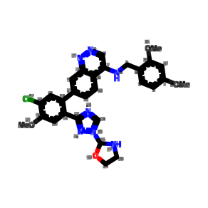 COc1ccc(CNc2cnnc3cc(-c4cc(Cl)c(OC)cc4-c4ncn(C5NCCO5)n4)ccc23)c(OC)c1